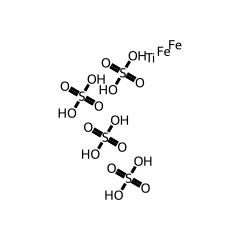 O=S(=O)(O)O.O=S(=O)(O)O.O=S(=O)(O)O.O=S(=O)(O)O.[Fe].[Fe].[Ti]